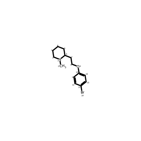 CN1CCCCC1CCOc1ccc(Br)cc1